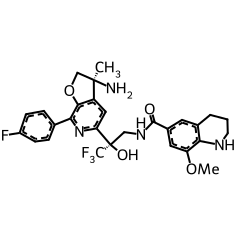 COc1cc(C(=O)NC[C@@](O)(c2cc3c(c(-c4ccc(F)cc4)n2)OC[C@@]3(C)N)C(F)(F)F)cc2c1NCCC2